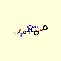 CC(=O)NC1CC(c2nc(-c3cccc(OCc4ccccc4)c3)c3c(N)ncnn23)C1